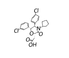 O=C(O)C[C@@H]1O[C@H](c2cccc(Cl)c2)[C@@H](c2ccc(Cl)cc2)N(C2CCCC2)C1=O